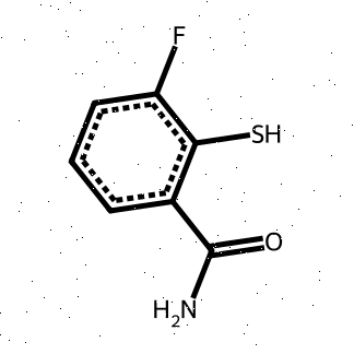 NC(=O)c1cccc(F)c1S